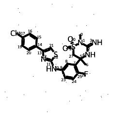 CN1C(=N)NC(C)(c2cc(Nc3nc(-c4ccc(Cl)cc4)cs3)ccc2F)CS1(=O)=O